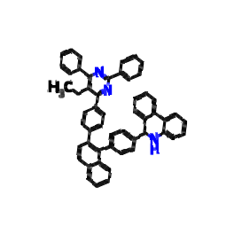 CCc1c(-c2ccccc2)nc(-c2ccccc2)nc1-c1ccc(-c2ccc3ccccc3c2-c2ccc(C3Nc4ccccc4-c4ccccc43)cc2)cc1